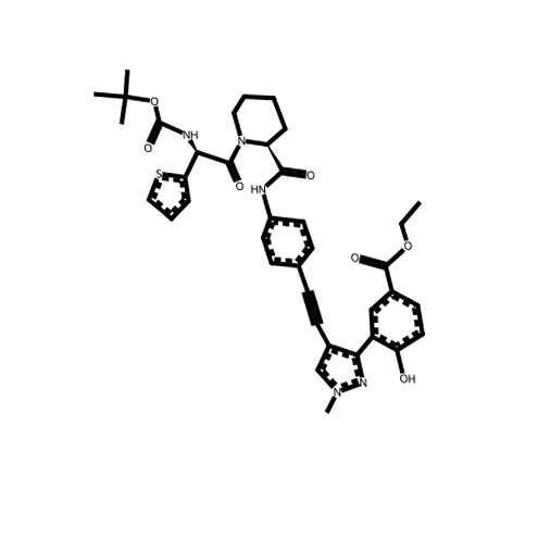 CCOC(=O)c1ccc(O)c(-c2nn(C)cc2C#Cc2ccc(NC(=O)[C@@H]3CCCCN3C(=O)[C@H](NC(=O)OC(C)(C)C)c3cccs3)cc2)c1